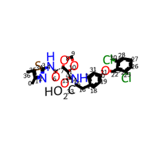 Cc1nc(NC(=O)[C@@H]2OCO[C@H]2C(=O)NC(Cc2ccc(OCc3c(Cl)cccc3Cl)cc2)C(=O)O)sc1C